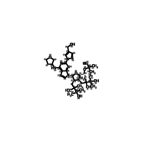 CC(C)(C[C@@H]1[C@H](CC(C)(C)[Si](C)(C)O)[C@@H](CO[Si](C)(C)C(C)(C)C)O[C@H]1n1cnc2c(NC3CCOC3)nc(-n3cc(CO)cn3)nc21)[Si](C)(C)O